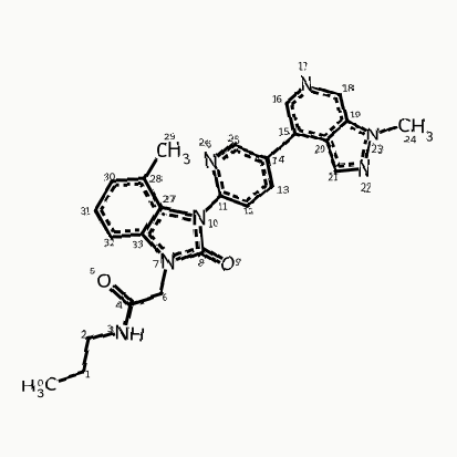 CCCNC(=O)Cn1c(=O)n(-c2ccc(-c3cncc4c3cnn4C)cn2)c2c(C)cccc21